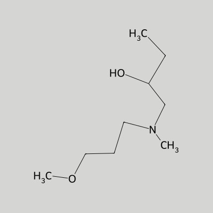 CCC(O)CN(C)CCCOC